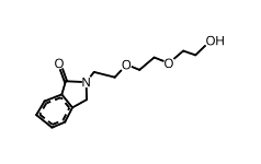 O=C1c2ccccc2CN1CCOCCOCCO